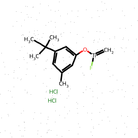 Cl.Cl.[CH2]=[Ti]([F])[O]c1cc(C)cc(C(C)(C)C)c1